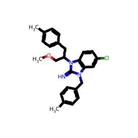 COCC(Cc1ccc(C)cc1)n1c(=N)n(Cc2ccc(C)cc2)c2cc(Cl)ccc21